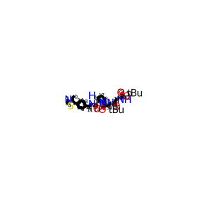 Cc1ncsc1-c1ccc([C@H](C)NC(=O)[C@@H]2CCCN2C(=O)C(NC(=O)CNC(=O)OC(C)(C)C)C(C)(C)C)cc1